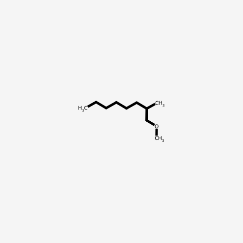 CCCCCCC(C)COC